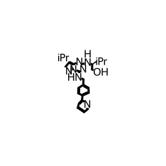 CC(C)c1cnn2c(NCc3ccc(-c4ccccn4)cc3)nc(N[C@H](CO)C(C)C)nc12